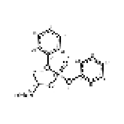 CCCCCCC(C)OP(=O)(Oc1ccccc1)Oc1ccccc1